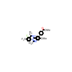 COc1cc2nc(C)nc(N[C@H](C)c3cccc(C(F)(F)F)c3F)c2cc1[C@H]1CC[C@H](C(=O)OC)CC1